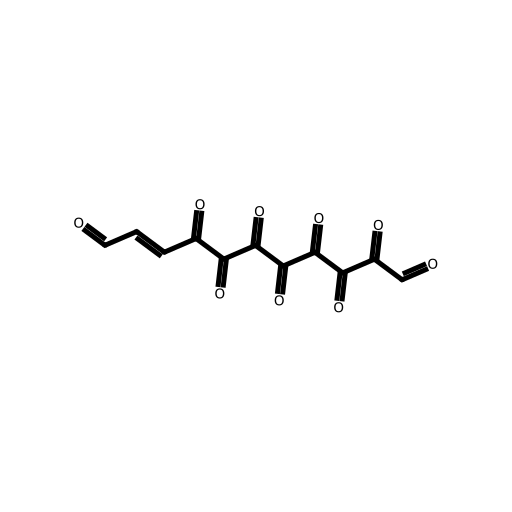 O=CC=CC(=O)C(=O)C(=O)C(=O)C(=O)C(=O)C(=O)C=O